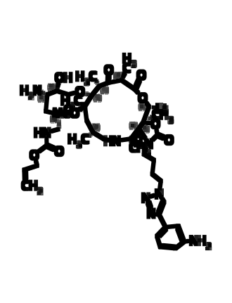 C=CCOC(=O)NC[C@@H]1C[C@H](N)[C@@H](O)C(O[C@@H]2[C@H](C)C(=O)[C@@H](C)C(=O)O[C@H](CC)[C@@]3(C)OC(=O)N(CCCCn4cc(-c5cccc(N)c5)nn4)[C@@H]3[C@@H](C)NC[C@H](C)C[C@@]2(C)OC)O1